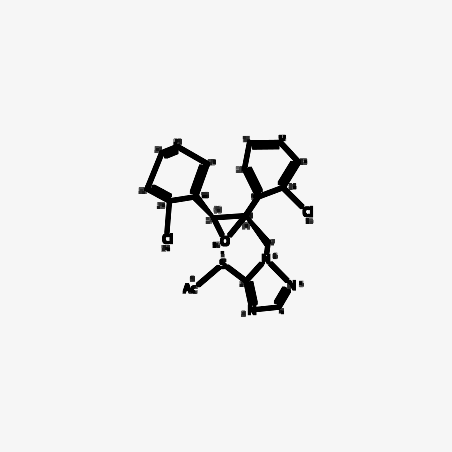 CC(=O)Sc1ncnn1C[C@@]1(c2ccccc2Cl)O[C@H]1c1ccccc1Cl